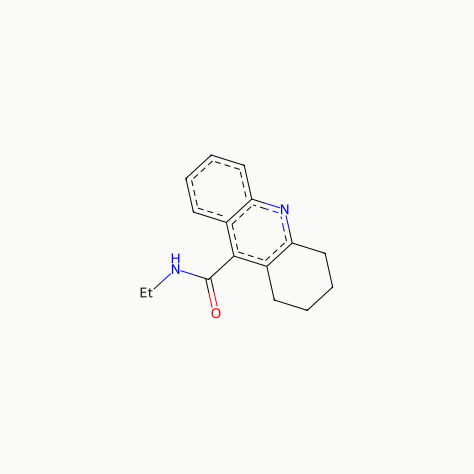 [CH2]CNC(=O)c1c2c(nc3ccccc13)CCCC2